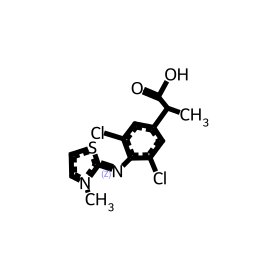 CC(C(=O)O)c1cc(Cl)c(/N=c2\sccn2C)c(Cl)c1